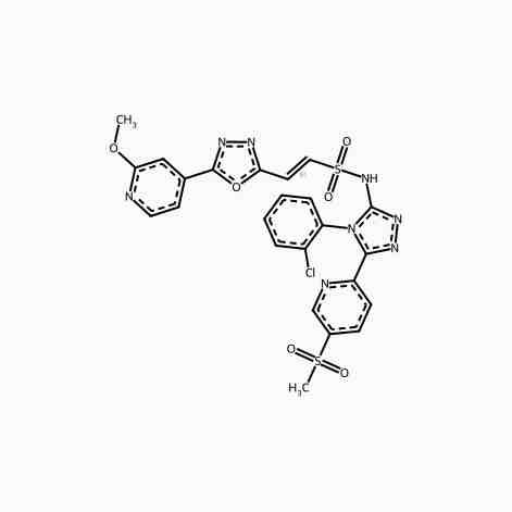 COc1cc(-c2nnc(/C=C/S(=O)(=O)Nc3nnc(-c4ccc(S(C)(=O)=O)cn4)n3-c3ccccc3Cl)o2)ccn1